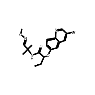 CCC(Oc1ccc2ncc(Br)cc2c1)C(=O)NC(C)(C)C=NOC